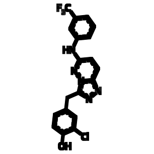 Oc1ccc(Cc2nnc3ccc(Nc4cccc(C(F)(F)F)c4)nn23)cc1Cl